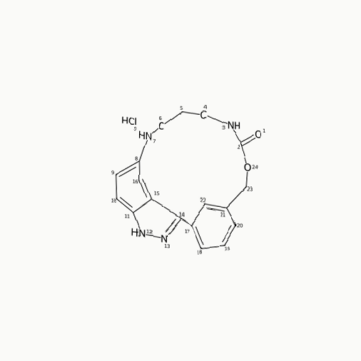 Cl.O=C1NCCCNc2ccc3[nH]nc(c3c2)-c2cccc(c2)CO1